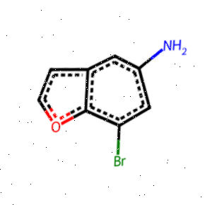 Nc1cc(Br)c2occc2c1